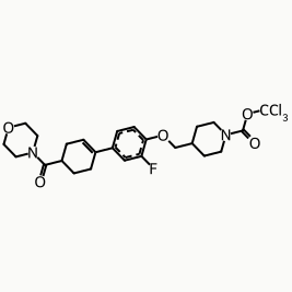 O=C(OC(Cl)(Cl)Cl)N1CCC(COc2ccc(C3=CCC(C(=O)N4CCOCC4)CC3)cc2F)CC1